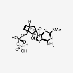 CSc1nc(N)c2ncn([C@]3(O)C[C@H]4C=C[C@@]4(COP(=O)(O)OP(=O)(O)O)[C@H]3O)c2n1